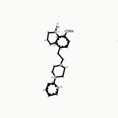 COc1ccc(CCN2CCN(c3ccccn3)CC2)c2c1N(C(C)=O)CCC2